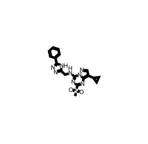 CS(=O)(=O)c1nc(NCc2nnc(-c3ccccc3)[nH]2)n2ncc(C3CC3)c2n1